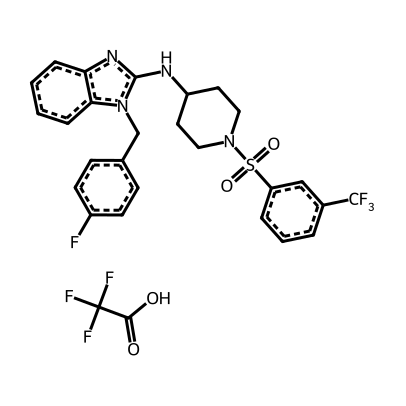 O=C(O)C(F)(F)F.O=S(=O)(c1cccc(C(F)(F)F)c1)N1CCC(Nc2nc3ccccc3n2Cc2ccc(F)cc2)CC1